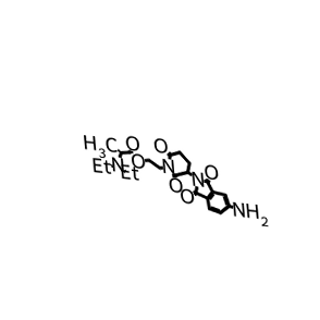 CCN(CC)[C@@H](C)C(=O)OCCN1C(=O)CCC(N2C(=O)c3ccc(N)cc3C2=O)C1=O